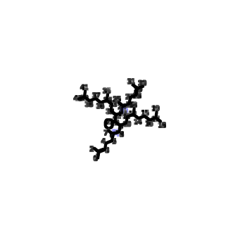 CC(C)=CCC/C(C)=C/C(CCC(C)CCCC(C)C)C(=O)C(/C=C(\C)CCC=C(C)C)CCC(C)CCCC(C)C